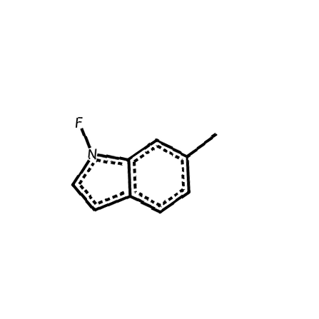 Cc1ccc2ccn(F)c2c1